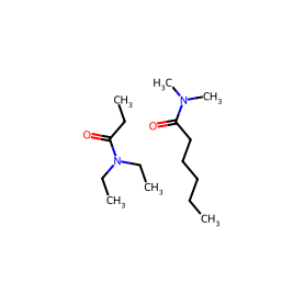 CCC(=O)N(CC)CC.CCCCCC(=O)N(C)C